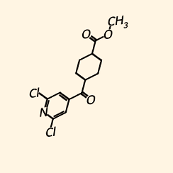 COC(=O)C1CCC(C(=O)c2cc(Cl)nc(Cl)c2)CC1